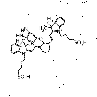 CC1(C)C(/C=C/C2=C(Oc3ccc4[nH]nnc4c3)C(=C/C=C3/N(CCCCS(=O)(=O)O)c4ccccc4C3(C)C)/CCC2)=[N+](CCCCS(=O)(=O)O)c2ccccc21